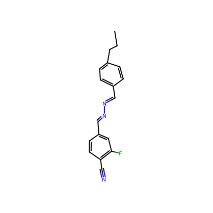 CCCc1ccc(/C=N/N=C/c2ccc(C#N)c(F)c2)cc1